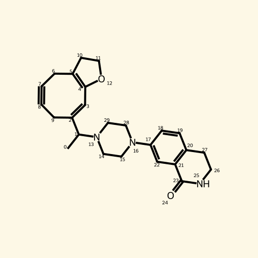 CC(/C1=C/C2=C(CC#CC1)CCO2)N1CCN(c2ccc3c(c2)C(=O)NCC3)CC1